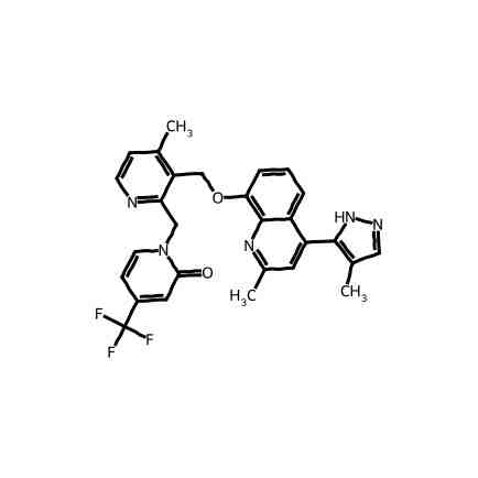 Cc1cc(-c2[nH]ncc2C)c2cccc(OCc3c(C)ccnc3Cn3ccc(C(F)(F)F)cc3=O)c2n1